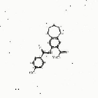 COC(=O)c1cc2c(cc1NC(=O)c1ccc(C(C)(C)C)cc1)CCCCC2